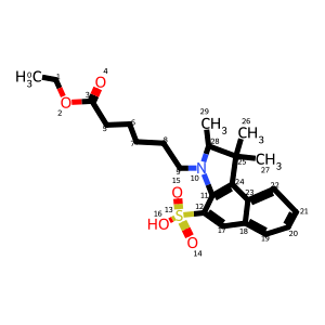 CCOC(=O)CCCCCN1c2c(S(=O)(=O)O)cc3ccccc3c2C(C)(C)C1C